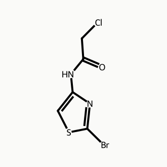 O=C(CCl)Nc1csc(Br)n1